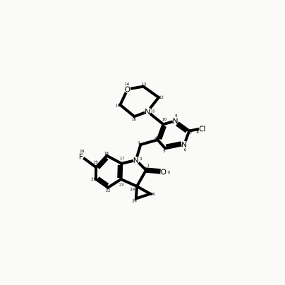 O=C1N(Cc2cnc(Cl)nc2N2CCOCC2)c2cc(F)ccc2C12CC2